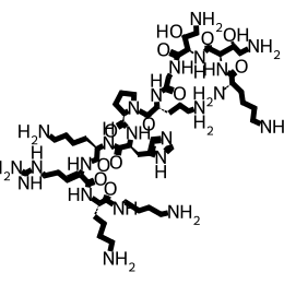 N=C(N)NCC/C=C(\NC(=O)[C@@H](CCCCN)NC(=O)[C@H](Cc1cnc[nH]1)NC(=O)[C@@H]1CCCN1C(=O)[C@@H](CCCN)NC(=O)CNC(=O)[C@@H](NC(=O)[C@@H](NC(=O)[C@@H](N)CCCCN)[C@@H](O)CN)[C@@H](O)CN)C(=O)N[C@@H](CCCCN)C(=O)NCCCCN